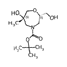 CC(C)(C)OC(=O)N1C[C@@H](CO)OC[C@@](C)(O)C1